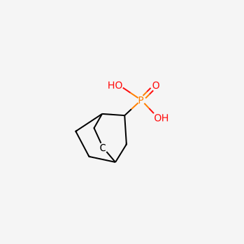 O=P(O)(O)C1CC2CCC1CC2